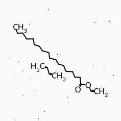 C=CC=C.C=COC(=O)CCCCCCCCCCCCCCCCC